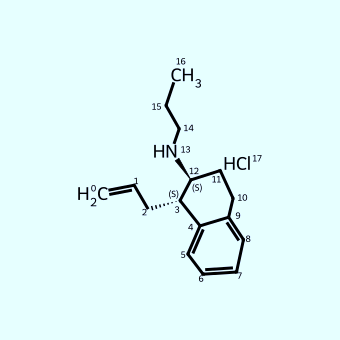 C=CC[C@H]1c2ccccc2CC[C@@H]1NCCC.Cl